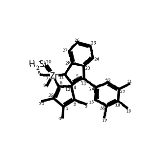 CC1=C(C)C(C)[C]([Zr]([CH3])([CH3])(=[SiH2])[CH]2C=C(c3cc(C)c(C)c(C)c3)c3ccccc32)=C1C